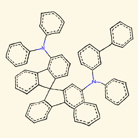 c1ccc(-c2cccc(N(c3ccccc3)c3cc4c(c5ccccc35)-c3ccccc3C43c4ccccc4-c4c(N(c5ccccc5)c5ccccc5)cccc43)c2)cc1